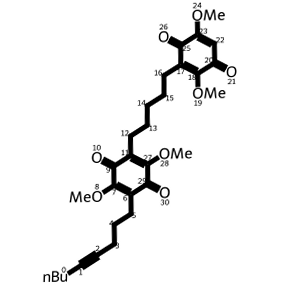 CCCCC#CCCCC1=C(OC)C(=O)C(CCCCCC2=C(OC)C(=O)C=C(OC)C2=O)=C(OC)C1=O